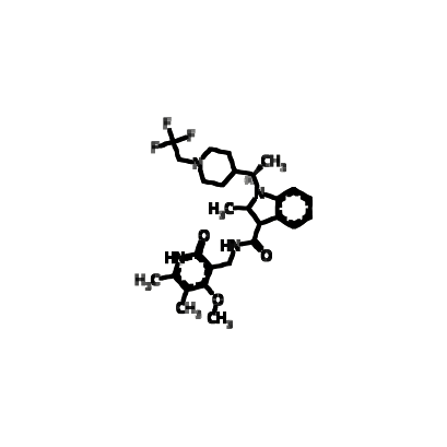 COc1c(C)c(C)[nH]c(=O)c1CNC(=O)C1c2ccccc2N([C@H](C)C2CCN(CC(F)(F)F)CC2)C1C